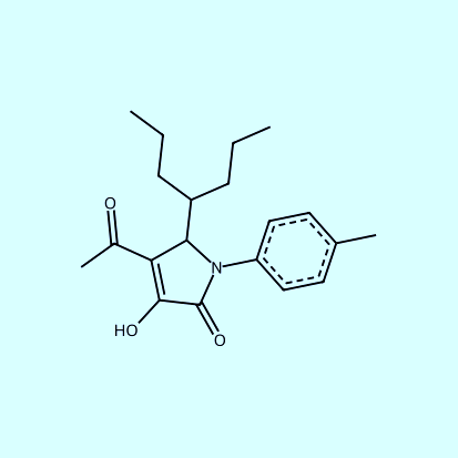 CCCC(CCC)C1C(C(C)=O)=C(O)C(=O)N1c1ccc(C)cc1